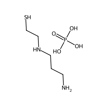 NCCCNCCS.O=P(O)(O)O